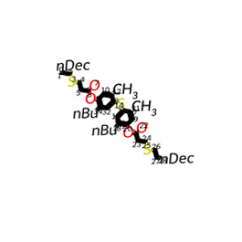 CCCCCCCCCCCCSCCC(=O)Oc1cc(C)c(Sc2cc(CCCC)c(OC(=O)CCSCCCCCCCCCCCC)cc2C)cc1CCCC